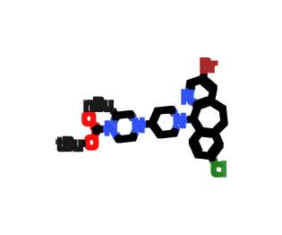 CCCC[C@H]1CN(C2CCN(C3c4ccc(Cl)cc4CCc4cc(Br)cnc43)CC2)CCN1C(=O)OC(C)(C)C